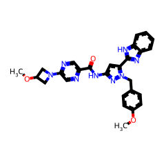 COc1ccc(Cn2nc(NC(=O)c3cnc(N4CC(OC)C4)cn3)cc2-c2nc3ccccc3[nH]2)cc1